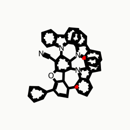 CC1C=CC(c2ccccc2)=C2Oc3c(C#N)c(-n4c5ccccc5c5ccccc54)c(-n4c5ccccc5c5ccccc54)c(-n4c5ccccc5c5ccccc54)c3C21